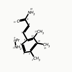 CCCN.Cc1ccc(C=CC(N)=O)c(C)c1C